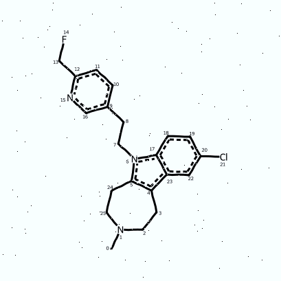 CN1CCc2c(n(CCc3ccc(CF)nc3)c3ccc(Cl)cc23)CC1